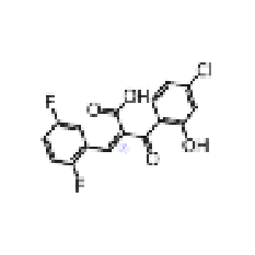 O=C(O)/C(=C\c1cc(F)ccc1F)C(=O)c1ccc(Cl)cc1O